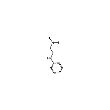 IN(I)CCNc1ccccn1